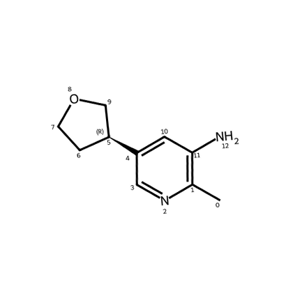 Cc1ncc([C@H]2CCOC2)cc1N